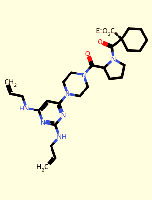 C=CCNc1cc(N2CCN(C(=O)C3CCCN3C(=O)C3(C(=O)OCC)CCCCC3)CC2)nc(NCC=C)n1